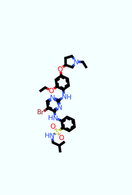 CCOc1cc(OC2CCN(CC)C2)ccc1Nc1ncc(Br)c(Nc2ccccc2S(=O)(=O)NCC(C)C)n1